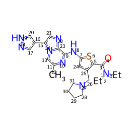 CCN(CC)C(=O)c1sc(Nc2nc(C)cn3c(-c4cn[nH]c4)cnc23)cc1CN1CCCC1